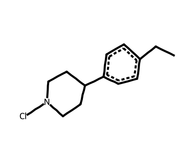 CCc1ccc(C2CCN(Cl)CC2)cc1